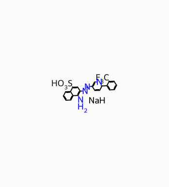 Nc1c(/N=N/c2ccc(-c3ccccc3C(F)(F)F)nc2)cc(S(=O)(=O)O)c2ccccc12.[NaH]